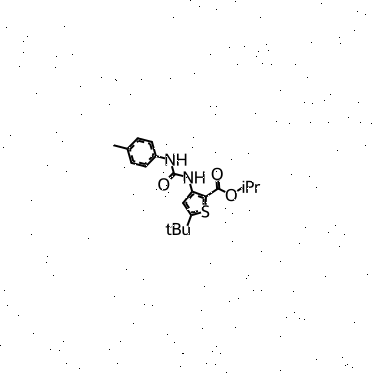 Cc1ccc(NC(=O)Nc2cc(C(C)(C)C)sc2C(=O)OC(C)C)cc1